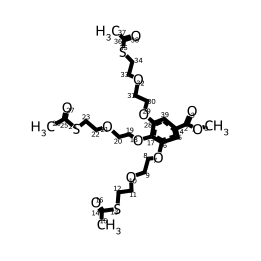 COC(=O)c1cc(OCCOCCSC(C)=O)c(OCCOCCSC(C)=O)c(OCCOCCSC(C)=O)c1